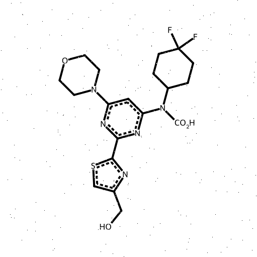 O=C(O)N(c1cc(N2CCOCC2)nc(-c2nc(CO)cs2)n1)C1CCC(F)(F)CC1